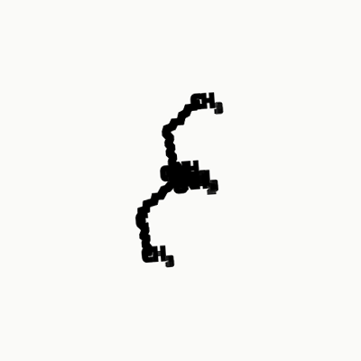 CCCCCCCC/C=C\CCCCCCCCCC(C(=O)CCCCCCC/C=C\CCCCCCCC)C(N)(CC)C(N)=O